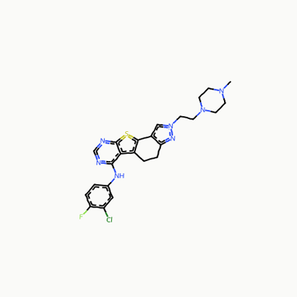 CN1CCN(CCn2cc3c(n2)CCc2c-3sc3ncnc(Nc4ccc(F)c(Cl)c4)c23)CC1